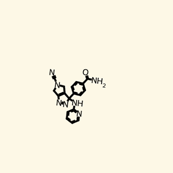 N#CN1CC2=C(C1)C(Nc1ccccn1)(c1ccc(C(N)=O)cc1)N=N2